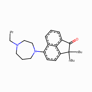 CCCCC1(CCCC)C(=O)c2cccc3c(N4CCCN(CC(C)C)CC4)ccc1c23